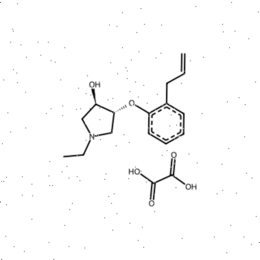 C=CCc1ccccc1O[C@@H]1CN(CC)C[C@H]1O.O=C(O)C(=O)O